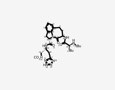 CC[C@H](C)[C@H](NC(C)(C)C)C(=O)NC1CCc2cccc3c2N(C1=O)[C@H](C(=O)N[C@@H](CC(=O)O)Cc1nn[nH]n1)C3